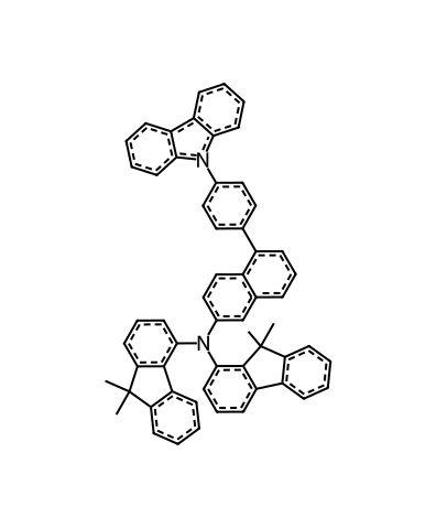 CC1(C)c2ccccc2-c2c(N(c3ccc4c(-c5ccc(-n6c7ccccc7c7ccccc76)cc5)cccc4c3)c3cccc4c3C(C)(C)c3ccccc3-4)cccc21